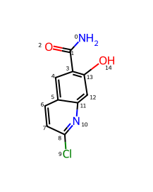 NC(=O)c1cc2ccc(Cl)nc2cc1O